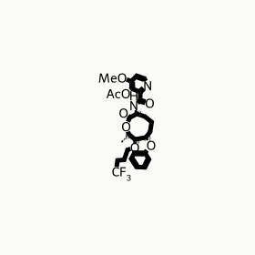 COc1ccnc(C(=O)N[C@H]2CCC[C@H](Oc3ccccc3)[C@@H](OCCCC(F)(F)F)[C@H](C)OC2=O)c1OC(C)=O